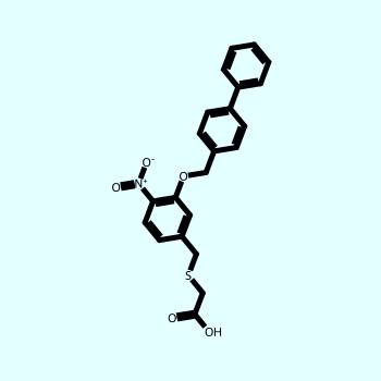 O=C(O)CSCc1ccc([N+](=O)[O-])c(OCc2ccc(-c3ccccc3)cc2)c1